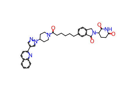 O=C1CCC(N2Cc3ccc(CCCCCC(=O)N4CCC(n5cc(-c6ccc7ccccc7n6)cn5)CC4)cc3C2=O)C(=O)N1